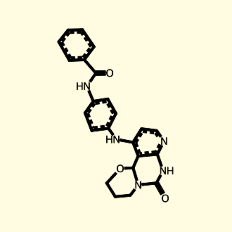 O=C(Nc1ccc(Nc2ccnc3c2C2OCCCN2C(=O)N3)cc1)c1ccccc1